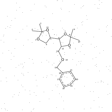 CC1(C)OCC(C2OC(C)(C)OC2COCc2ccccc2)O1